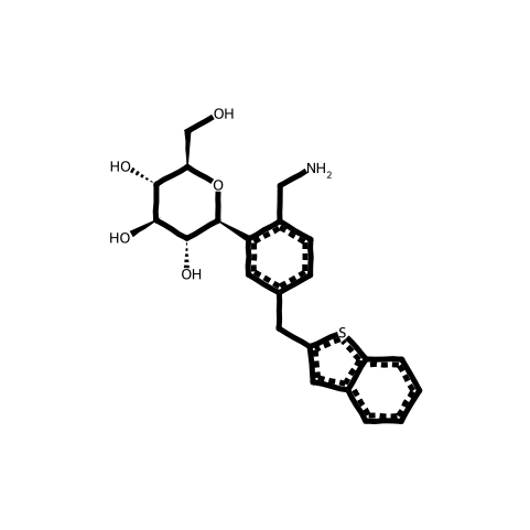 NCc1ccc(Cc2cc3ccccc3s2)cc1[C@@H]1O[C@H](CO)[C@@H](O)[C@H](O)[C@H]1O